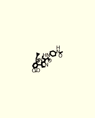 CC(=O)N[C@H]1CC[C@H](NC(=O)c2c(C)[nH]c3c(-c4c(OCC5CC5)ccc5c4OCO5)ccnc23)CC1